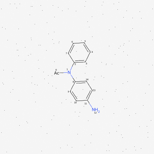 CC(=O)N(c1ccccc1)c1ccc(N)cc1